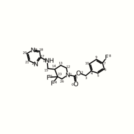 O=C(OCc1ccc(F)cc1)N1CCC(CNc2cnccn2)C(F)(F)C1